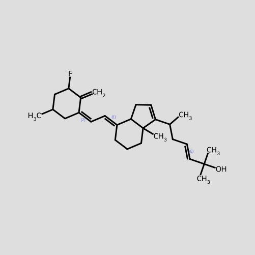 C=C1/C(=C\C=C2/CCCC3(C)C(C(C)C/C=C/C(C)(C)O)=CCC23)CC(C)CC1F